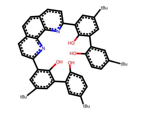 CC(C)(C)c1ccc(O)c(-c2cc(C(C)(C)C)cc(-c3ccc4ccc5ccc(-c6cc(C(C)(C)C)cc(-c7cc(C(C)(C)C)ccc7O)c6O)nc5c4n3)c2O)c1